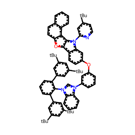 CC(C)(C)c1cc(-c2cccc(-c3cc(C(C)(C)C)cc(C(C)(C)C)c3)c2-[n+]2cn(-c3cccc(Oc4ccc5c6oc7ccc8ccccc8c7c6n(-c6cc(C(C)(C)C)ccn6)c5c4)c3)c3ccccc32)cc(C(C)(C)C)c1